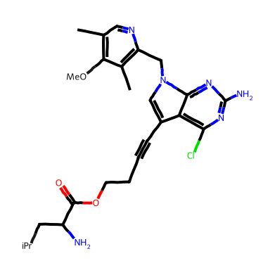 COc1c(C)cnc(Cn2cc(C#CCCOC(=O)C(N)CC(C)C)c3c(Cl)nc(N)nc32)c1C